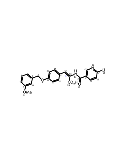 COc1cccc(COc2ccc(/C=C(/NC(=O)c3ccc(Cl)nc3)C(=O)O)cc2)c1